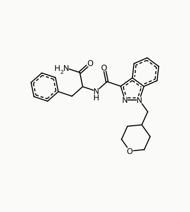 NC(=O)C(Cc1ccccc1)NC(=O)c1nn(CC2CCOCC2)c2ccccc12